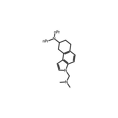 CCCN(CCC)C1CCc2ccc3c(ccn3CN(C)C)c2C1